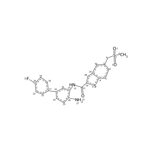 CS(=O)(=O)Cc1ccc2sc(C(=O)Nc3cc(-c4ccc(F)cc4)ccc3N)cc2c1